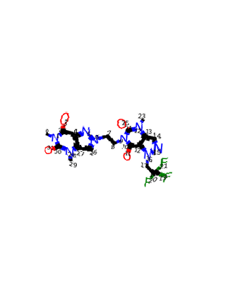 Cn1c(=O)c2nn(CCn3c(=O)c4c(cnn4CC(F)(F)F)n(C)c3=O)cc2n(C)c1=O